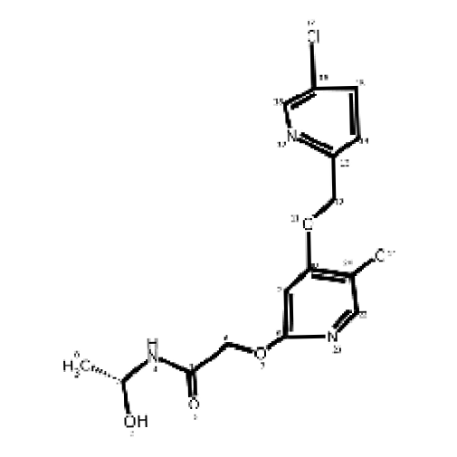 C[C@@H](O)NC(=O)COc1cc(OCc2ccc(Cl)cn2)c(Cl)cn1